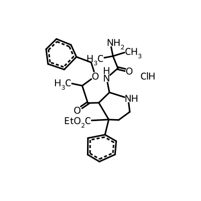 CCOC(=O)C1(c2ccccc2)CCNC(NC(=O)C(C)(C)N)C1C(=O)C(C)OCc1ccccc1.Cl